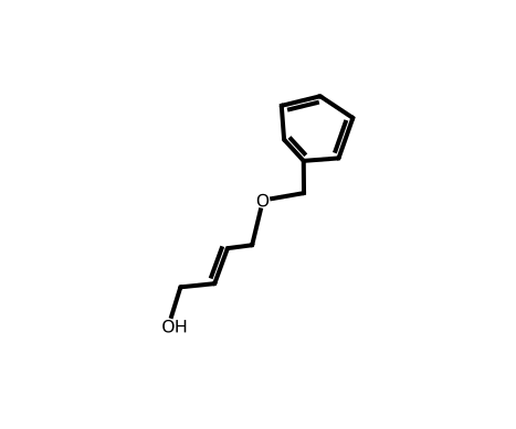 OCC=CCOCc1ccccc1